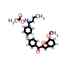 CCC/C(=N/OC(C)=O)c1ccc(Sc2ccc(C(=O)c3cc4cccc(OC)c4o3)cc2)cc1